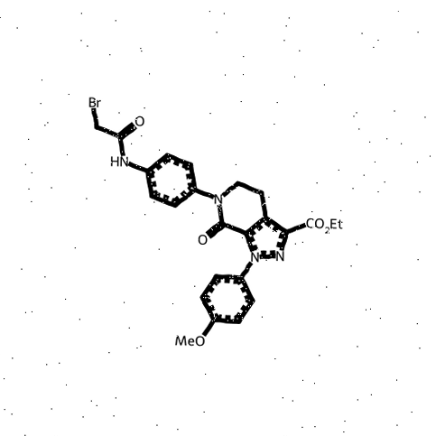 CCOC(=O)c1nn(-c2ccc(OC)cc2)c2c1CCN(c1ccc(NC(=O)CBr)cc1)C2=O